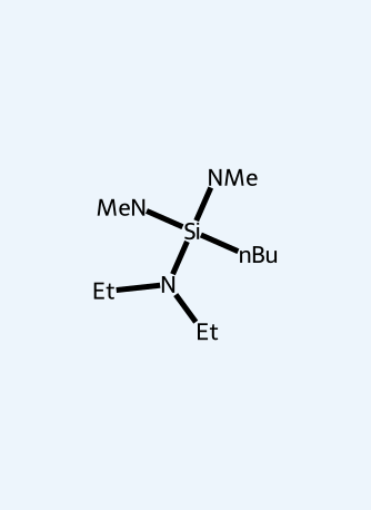 CCCC[Si](NC)(NC)N(CC)CC